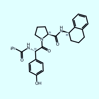 CC(C)C(=O)N[C@H](C(=O)N1CCC[C@H]1C(=O)N[C@@H]1CCCc2ccccc21)c1ccc(O)cc1